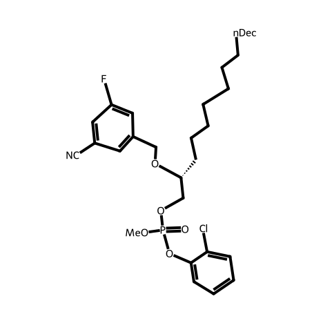 CCCCCCCCCCCCCCCCC[C@H](COP(=O)(OC)Oc1ccccc1Cl)OCc1cc(F)cc(C#N)c1